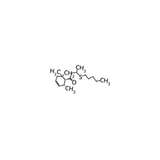 CCCCCSC(C)CC(=O)[C@H]1[C@H](C)C=CCC1(C)C